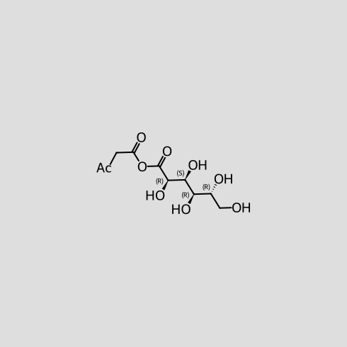 CC(=O)CC(=O)OC(=O)[C@H](O)[C@@H](O)[C@H](O)[C@H](O)CO